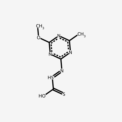 COc1nc(C)nc(N=[SH]C(O)=S)n1